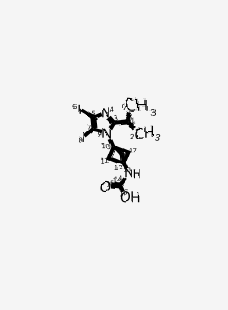 CC(C)c1nc(I)c(I)n1C12CC(NC(=O)O)(C1)C2